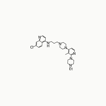 CCN1CCN(c2nccc(N3CCN(CCCNc4ccnc5cc(Cl)ccc45)CC3)c2C)CC1